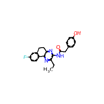 CCc1nc2c(nc1NC(=O)Cc1ccc(O)cc1)CCc1cc(F)ccc1-2